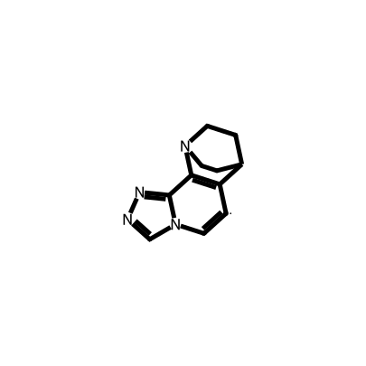 [c]1cn2cnnc2c2c1C1CCN2CC1